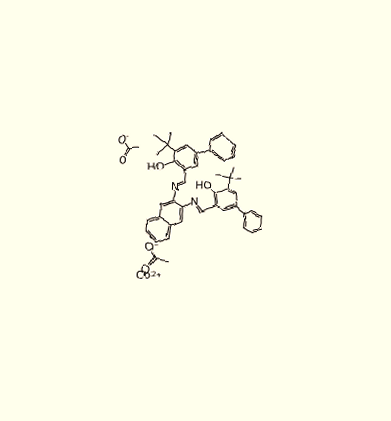 CC(=O)[O-].CC(=O)[O-].CC(C)(C)c1cc(-c2ccccc2)cc(C=Nc2cc3ccccc3cc2N=Cc2cc(-c3ccccc3)cc(C(C)(C)C)c2O)c1O.[Co+2]